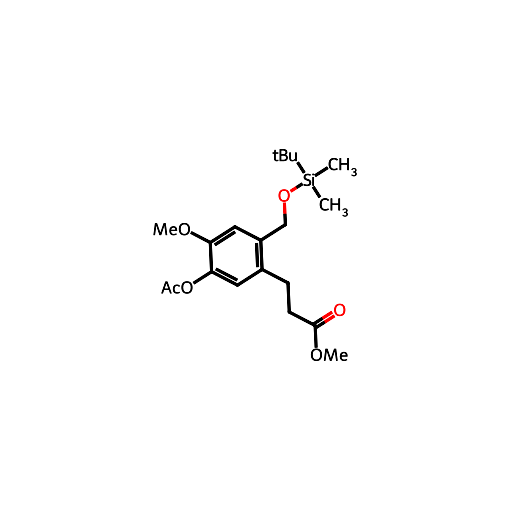 COC(=O)CCc1cc(OC(C)=O)c(OC)cc1CO[Si](C)(C)C(C)(C)C